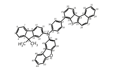 CC1(C)c2ccccc2-c2ccc(N(c3ccc(-c4cccc5c4sc4ccc6ccccc6c45)cc3)c3ccc4oc5ccccc5c4c3)cc21